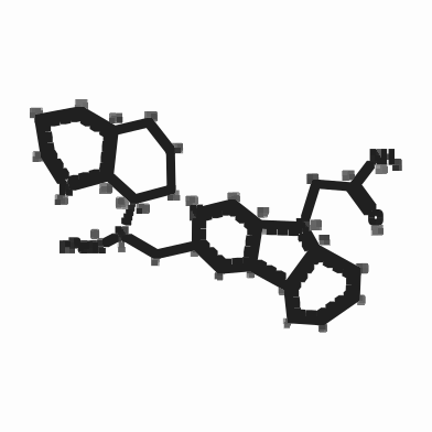 CCCCCN(Cc1cc2c3ccccc3n(CC(N)=O)c2cn1)[C@H]1CCCc2cccnc21